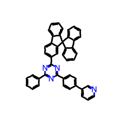 c1ccc(-c2nc(-c3ccc(-c4cccnc4)cc3)nc(-c3ccc4c(c3)C3(c5ccccc5-c5ccccc53)c3ccccc3-4)n2)cc1